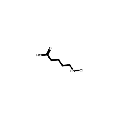 O=C(O)CCCCNCl